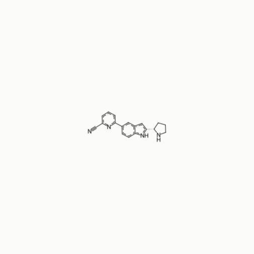 N#Cc1cccc(-c2ccc3[nH]c([C@@H]4CCCN4)cc3c2)n1